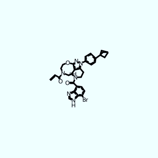 C=CC(=O)N1CCOc2nn(-c3ccc(C45CC(C4)C5)cc3)c3c2[C@H](C1)N(C(=O)c1ccc(Br)c2[nH]cnc12)CC3